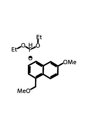 CCO[PH](=O)OCC.COCc1cccc2cc(OC)ccc12